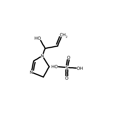 C=CC(O)N1C=NCC1.O=S(=O)(O)O